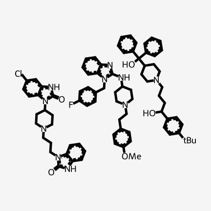 CC(C)(C)c1ccc(C(O)CCCN2CCC(C(O)(c3ccccc3)c3ccccc3)CC2)cc1.COc1ccc(CCN2CCC(Nc3nc4ccccc4n3Cc3ccc(F)cc3)CC2)cc1.O=c1[nH]c2ccccc2n1CCCN1CCC(n2c(=O)[nH]c3cc(Cl)ccc32)CC1